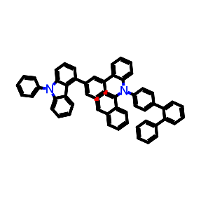 c1ccc(-c2ccccc2-c2ccc(N(c3ccccc3-c3cccc(-c4cccc5c4c4ccccc4n5-c4ccccc4)c3)c3cccc4ccccc34)cc2)cc1